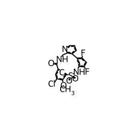 COc1c(Cl)cc2cc1S(=O)(=O)Nc1cc(c(F)cc1F)-c1cccnc1CNC2=O